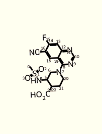 CS(=O)(=O)NC1CN(c2ncnc3cc(F)c(C#N)cc23)CCC1C(=O)O